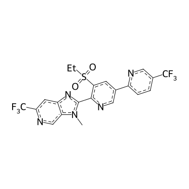 CCS(=O)(=O)c1cc(-c2ccc(C(F)(F)F)cn2)cnc1-c1nc2cc(C(F)(F)F)ncc2n1C